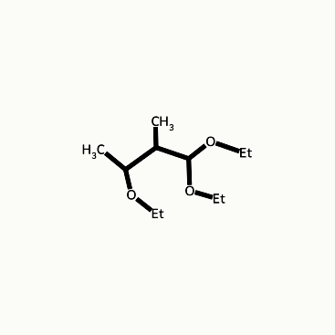 CCOC(C)C(C)C(OCC)OCC